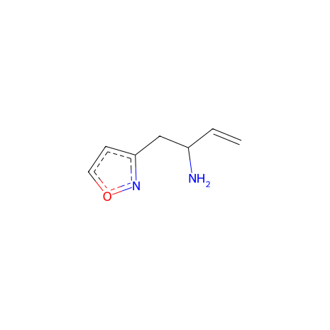 C=CC(N)Cc1ccon1